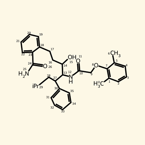 Cc1cccc(C)c1OCC(=O)NC(C(O)CCc1ccccc1C(N)=O)C(CC(C)C)c1ccccc1